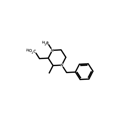 BN1CCN(Cc2ccccc2)C(C)C1CC(=O)O